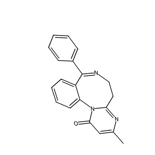 Cc1cc(=O)n2c(n1)CC/N=C(/c1ccccc1)c1ccccc1-2